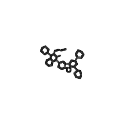 C=C/C=C\c1c(C)c(-c2ccc3oc4c(-c5ccccc5)cc(-c5ccccc5)cc4c3c2)c2ccccc2c1-c1ccccc1